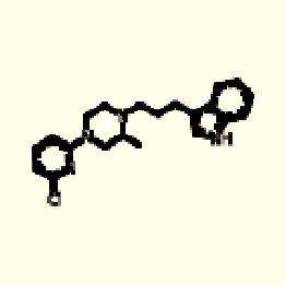 CC1CN(c2cccc(Cl)n2)CCN1CCCc1c[nH]c2ccccc12